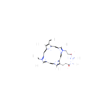 C=CC1=C(C)c2cc3[nH]c(cc4nc(cc5[nH]c(cc1n2)c(C)c5CCC(=O)NC)C(CCC(=O)NC)=C4C)c(C)c3C=C